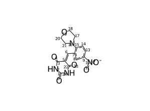 O=C1NC(=O)C(=Cc2cc([N+](=O)[O-])ccc2N2CCOCC2)C(=O)N1